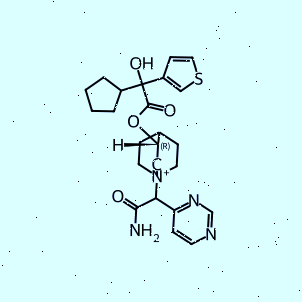 NC(=O)C(c1ccncn1)[N+]12CCC(CC1)[C@@H](OC(=O)C(O)(c1ccsc1)C1CCCC1)C2